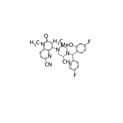 COc1cc(F)ccc1C(c1ccc(F)cc1)N1C[C@H](C)N(c2cc(=O)n(C)c3ccc(C#N)nc23)CC1C